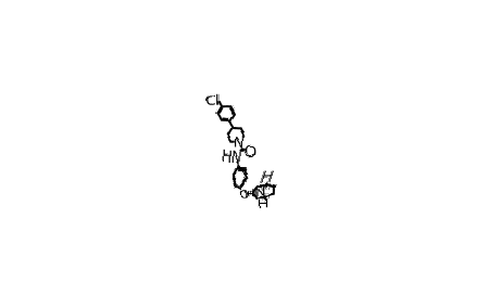 O=C(Nc1ccc(O[C@H]2C[C@H]3CC[C@@H](C2)N3)cc1)N1CCC(c2ccc(Cl)cc2)CC1